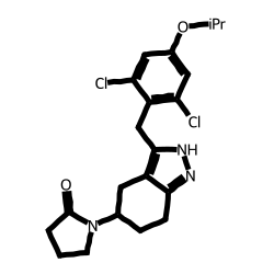 CC(C)Oc1cc(Cl)c(Cc2[nH]nc3c2CC(N2CCCC2=O)CC3)c(Cl)c1